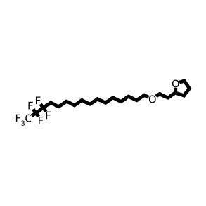 FC(F)(F)C(F)(F)C(F)(F)CCCCCCCCCCCCCOCCC1CCCO1